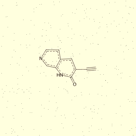 C#Cc1cc2ccncc2[nH]c1=O